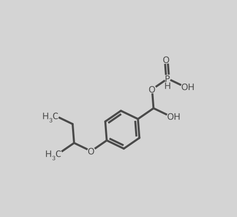 CCC(C)Oc1ccc(C(O)O[PH](=O)O)cc1